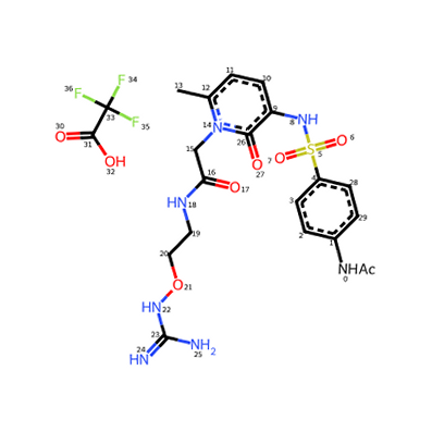 CC(=O)Nc1ccc(S(=O)(=O)Nc2ccc(C)n(CC(=O)NCCONC(=N)N)c2=O)cc1.O=C(O)C(F)(F)F